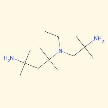 CCN(CC(C)(C)N)C(C)(C)CC(C)(C)N